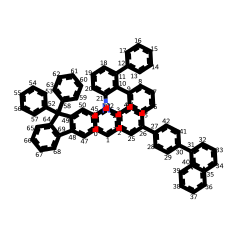 c1ccc(-c2ccccc2-c2c(-c3ccccc3)cccc2N(c2ccc(-c3ccc(-c4cccc5ccccc45)cc3)cc2)c2ccc3c(c2)C(c2ccccc2)(c2ccccc2)c2ccccc2-3)cc1